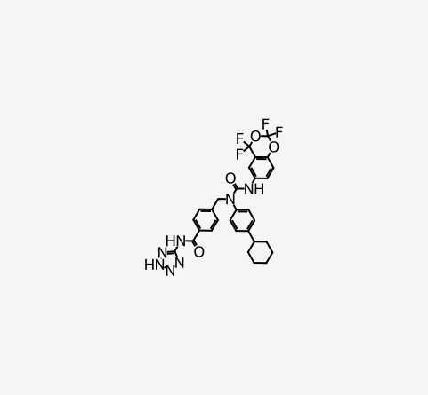 O=C(Nc1nn[nH]n1)c1ccc(CN(C(=O)Nc2ccc3c(c2)C(F)(F)OC(F)(F)O3)c2ccc(C3CCCCC3)cc2)cc1